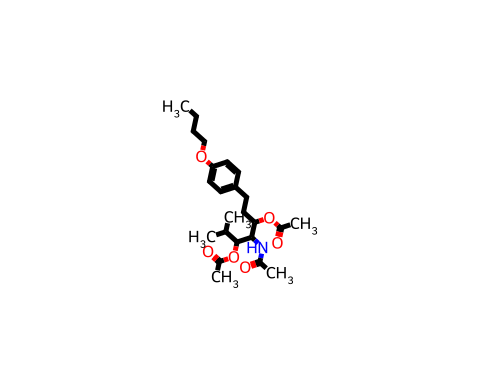 CCCCOc1ccc(CCC(OC(C)=O)C(NC(C)=O)C(OC(C)=O)C(C)C)cc1